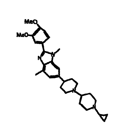 COc1ccc(-c2nc3c(C)cc(C4CCN(C5CCN(C6CC6)CC5)CC4)cc3n2C)cc1OC